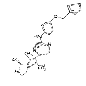 Cc1c(-c2ccnc(Nc3ccc(OCc4ccccc4)cc3)n2)c(C)n2c1C(=O)NCC2